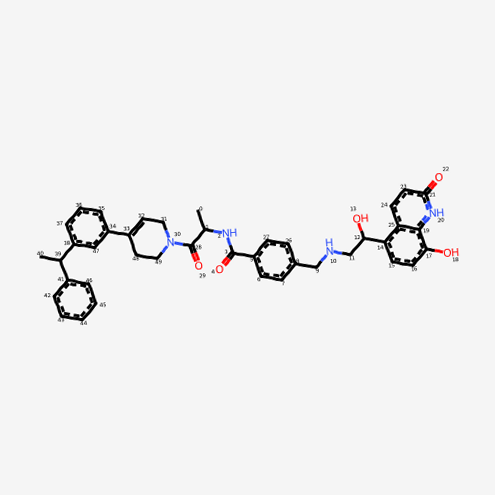 CC(NC(=O)c1ccc(CNCC(O)c2ccc(O)c3[nH]c(=O)ccc23)cc1)C(=O)N1CC=C(c2cccc(C(C)c3ccccc3)c2)CC1